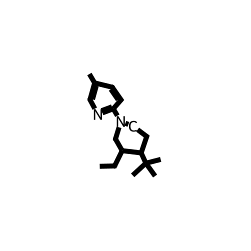 CCC1CN(c2ccc(C)cn2)CCC1C(C)(C)C